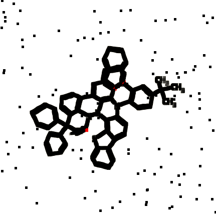 CC(C)(C)c1ccc(N2c3ccc4c(sc5ccccc54)c3B3c4c(cc5c(sc6ccccc65)c42)-c2cccc4c2N3c2ccccc2C4(c2ccccc2)c2ccccc2)c(-c2ccccc2)c1